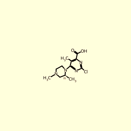 Cc1c(C(=O)O)nc(Cl)nc1N1CCN(C)C[C@@H]1C